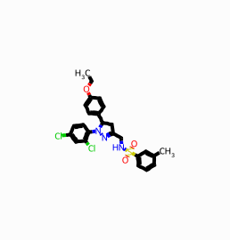 CCOc1ccc(C2CC(CNS(=O)(=O)c3cccc(C)c3)=NN2c2ccc(Cl)cc2Cl)cc1